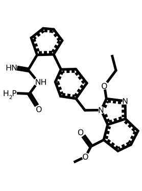 CCOc1nc2cccc(C(=O)OC)c2n1Cc1ccc(-c2ccccc2C(=N)NC(=O)P)cc1